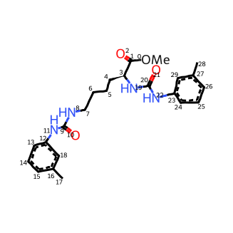 COC(=O)[C@H](CCCCNC(=O)Nc1cccc(C)c1)NC(=O)Nc1cccc(C)c1